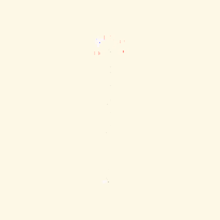 CC/C=C\CCCCCCCCCCCCCCCCCC(O)(C[N+](C)(C)C)P(=O)(O)O